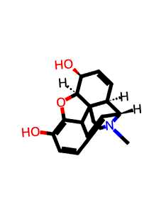 CN1CCC23C4C5=C[C@@H]1[C@@H]2C=C[C@H](O)[C@@H]3OC4=C(O)C=C5